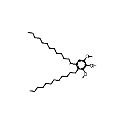 CCCCCCCCCCCC[C]c1cc(OC)c(O)c(OC)c1CCCCCCCCCCCC